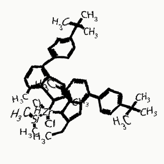 CCC1=Cc2c(-c3ccc(C(C)(C)C)cc3)ccc(C)c2[CH]1[Zr]([Cl])([Cl])([CH]1C(C)=Cc2c(-c3ccc(C(C)(C)C)cc3)ccc(C)c21)[SiH](C)C